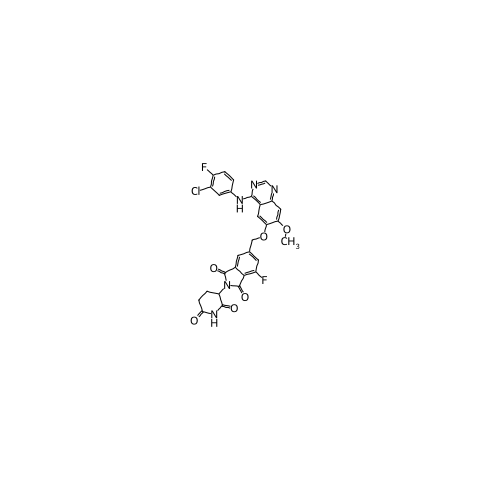 COc1cc2ncnc(Nc3ccc(F)c(Cl)c3)c2cc1OCc1cc(F)c2c(c1)C(=O)N(C1CCC(=O)NC1=O)C2=O